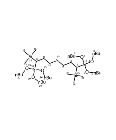 CCCCO[Si](OCCCC)(OCCCC)C(CCSCCC([Si](C)(C)C)[Si](OCCCC)(OCCCC)OCCCC)[Si](C)(C)C